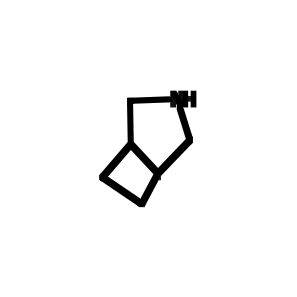 C1CC2CNC[C]12